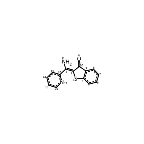 NC(=C1Sc2ccccc2C1=O)c1ccccn1